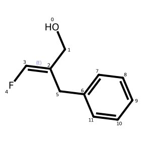 OC/C(=C/F)Cc1ccccc1